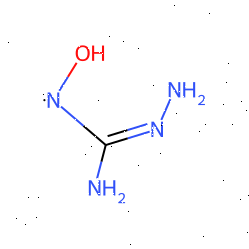 NN=C(N)[N]O